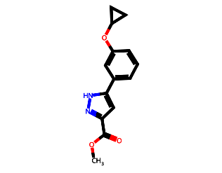 COC(=O)c1cc(-c2cccc(OC3CC3)c2)[nH]n1